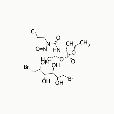 CCOP(=O)(OCC)C(C)NC(=O)N(CCCl)N=O.O[C@H]([C@H](O)[C@@H](O)CBr)[C@H](O)CBr